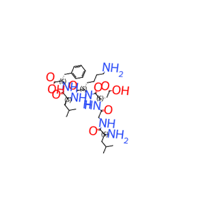 CC(C)C[C@H](NC(=O)[C@H](CCCCN)NC(=O)[C@H](CC(=O)O)NC(=O)CNC(=O)[C@@H](N)CC(C)C)C(=O)N[C@@H](Cc1ccccc1)C(=O)O